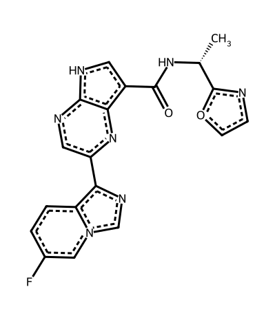 C[C@@H](NC(=O)c1c[nH]c2ncc(-c3ncn4cc(F)ccc34)nc12)c1ncco1